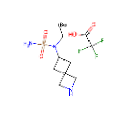 CC(C)(C)CN(C1CC2(CNC2)C1)S(N)(=O)=O.O=C(O)C(F)(F)F